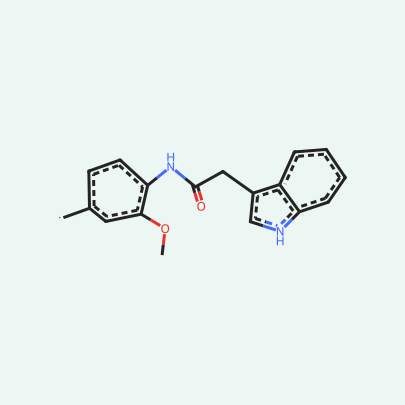 [CH2]c1ccc(NC(=O)Cc2c[nH]c3ccccc23)c(OC)c1